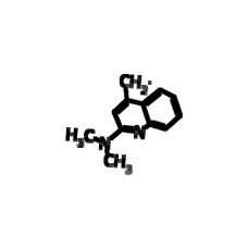 [CH2]c1cc(N(C)C)nc2ccccc12